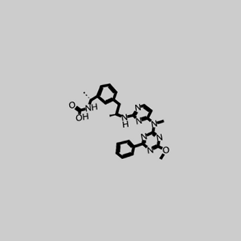 COc1nc(-c2ccccc2)nc(N(C)c2ccnc(N[C@@H](C)Cc3cccc([C@@H](C)NC(=O)O)c3)n2)n1